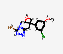 CCOc1cc(Br)cc(C2(Cc3nnc(S)n3C)COC2)c1